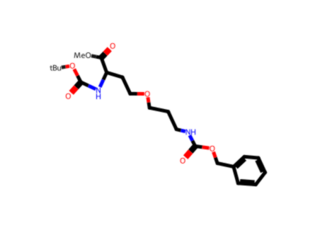 COC(=O)C(CCOCCCNC(=O)OCc1ccccc1)NC(=O)OC(C)(C)C